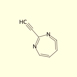 C#CC1=NC=CC=C=N1